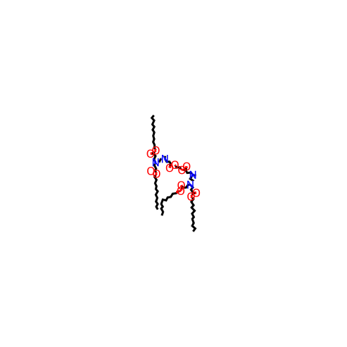 CCCCCCCCCCCCOC(=O)CCN(CCC(=O)OCCCCCCCCCCCC)CCN(C)CCC(=O)OCCOC(=O)CCN(C)CCN(CCC(=O)OCCCCCCCCCCCC)CCC(=O)OCCCCCCCCCCCC